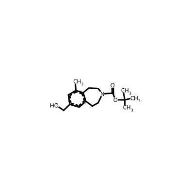 Cc1cc(CO)cc2c1CCN(C(=O)OC(C)(C)C)CC2